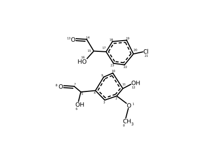 COc1cc(C(O)C=O)ccc1O.O=CC(O)c1ccc(Cl)cc1